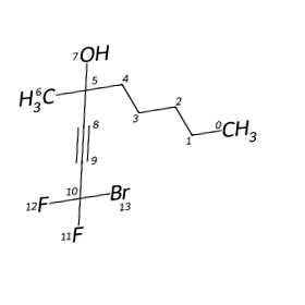 CCCCCC(C)(O)C#CC(F)(F)Br